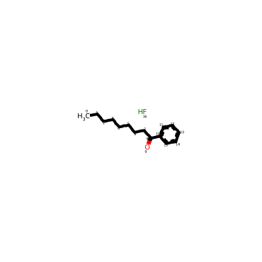 CCCCCCCCC(=O)c1ccccc1.F